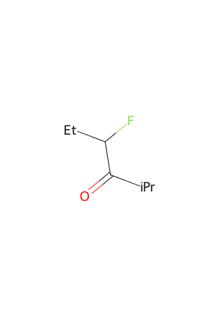 CCC(F)C(=O)C(C)C